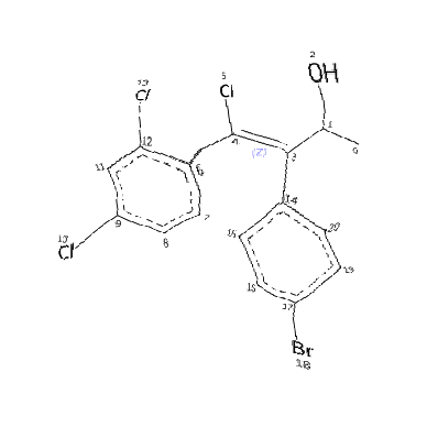 CC(O)/C(=C(\Cl)c1ccc(Cl)cc1Cl)c1ccc(Br)cc1